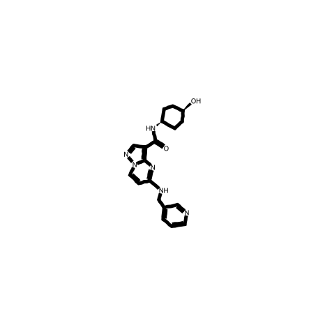 O=C(N[C@H]1CC[C@H](O)CC1)c1cnn2ccc(NCc3cccnc3)nc12